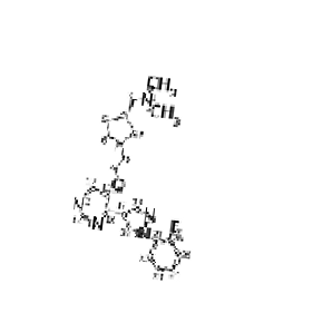 CN(C)C[C@@H]1CC[C@H](CCOc2cncnc2-c2cnn(-c3ccccc3F)c2)C1